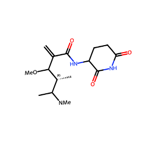 C=C(C(=O)NC1CCC(=O)NC1=O)C(OC)[C@H](C)C(C)NC